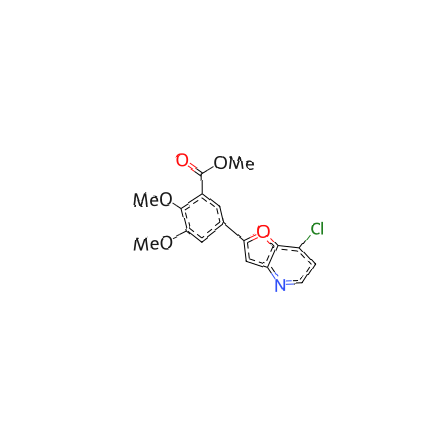 COC(=O)c1cc(-c2cc3nccc(Cl)c3o2)cc(OC)c1OC